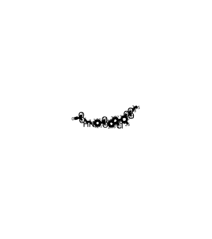 C#CC(=O)OCCCNc1ccc(C(=O)Oc2ccc3c(Cl)c(C4CC(C)CC(OC(=O)OCCC)C4)ccc3c2)cc1